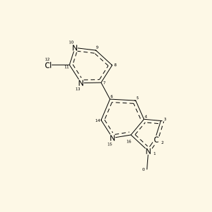 Cn1ccc2cc(-c3ccnc(Cl)n3)cnc21